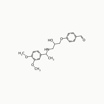 COc1ccc(C(C)NCC(O)COc2ccc(C=O)cc2)cc1OC